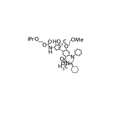 COCCOc1cc2c(cc1-c1cc(NC(=O)OCCOC(C)C)c(C(=O)O)s1)S(=O)(=O)N(C)[C@H](C1CCCCC1)CN2c1ccccc1